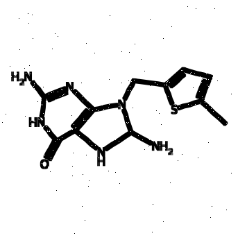 Cc1ccc(CN2c3nc(N)[nH]c(=O)c3NC2N)s1